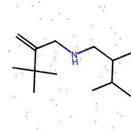 C=C(CNCC(C)C(C)C)C(C)(C)C